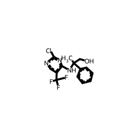 CC(CO)(Nc1nc(Cl)ncc1C(F)(F)F)c1ccccc1